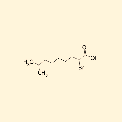 CC(C)CCCCCC(Br)C(=O)O